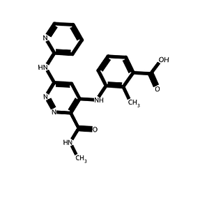 CNC(=O)c1nnc(Nc2ccccn2)cc1Nc1cccc(C(=O)O)c1C